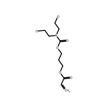 C=CC(=O)OCCCOC(=O)N(CCCl)CCCl